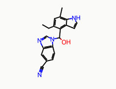 CCc1cc(C)c2[nH]ccc2c1C(O)n1cnc2cc(C#N)ccc21